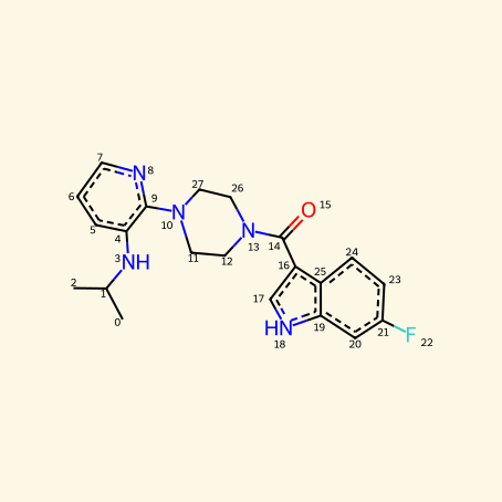 CC(C)Nc1cccnc1N1CCN(C(=O)c2c[nH]c3cc(F)ccc23)CC1